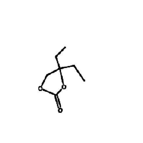 CCC1(CC)COC(=O)O1